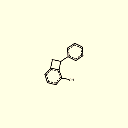 Oc1cccc2c1C(c1ccccc1)[C]2